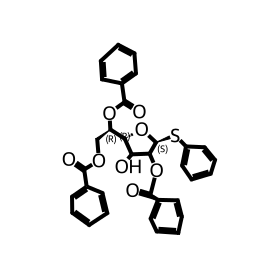 O=C(OC[C@@H](OC(=O)c1ccccc1)[C@@H]1O[C@@H](Sc2ccccc2)C(OC(=O)c2ccccc2)C1O)c1ccccc1